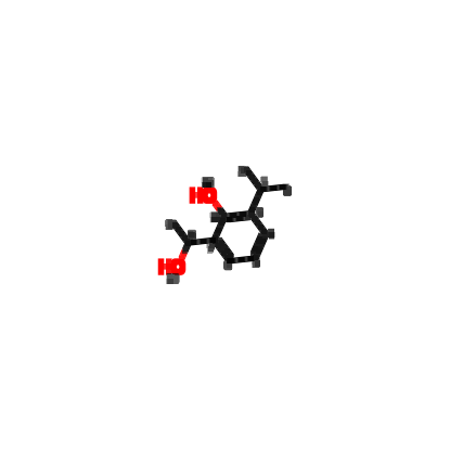 CC(C)c1cccc(C(C)O)c1O